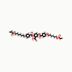 C=CC(=O)OCCCCCCOc1ccc(C(=O)Oc2ccc(OC(=O)c3ccc(OCCCCCCOC(=O)C=C)cc3)c(C(C)=O)c2)cc1